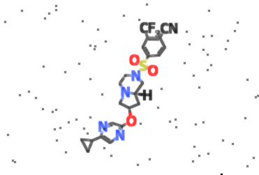 N#Cc1ccc(S(=O)(=O)N2CCN3C[C@H](Oc4cnc(C5CC5)cn4)C[C@H]3C2)cc1C(F)(F)F